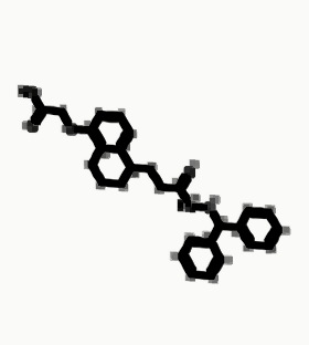 O=C(O)COc1cccc2c1CCCC2CCC(=O)NOC(c1ccccc1)c1ccccc1